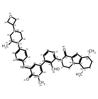 C[C@@H]1CC[C@H](C)c2c1cc1n2CCN(c2nccc(-c3cc(Nc4ccc(N5CCN(C6COC6)C[C@@H]5C)cn4)c(=O)n(C)c3)c2C=O)C1=O